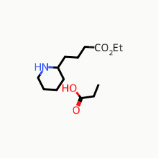 CCC(=O)O.CCOC(=O)CCCC1CCCCN1